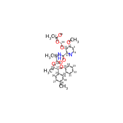 COc1ccnc(C(=O)N[C@@H](C)C(=O)OC(C)C(Oc2ccccc2)c2ccc(C)cc2)c1OCOC(C)=O